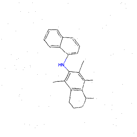 Cc1c(C)c2c(c(C)c1Nc1cccc3ccccc13)CCCC2C